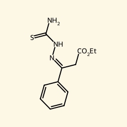 CCOC(=O)CC(=NNC(N)=S)c1ccccc1